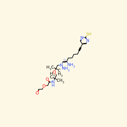 CC(C)(COC(C)(C)CN(N)/C=C(\N)CCCCC#Cc1cnc(S)nc1)NC(=O)COCC=O